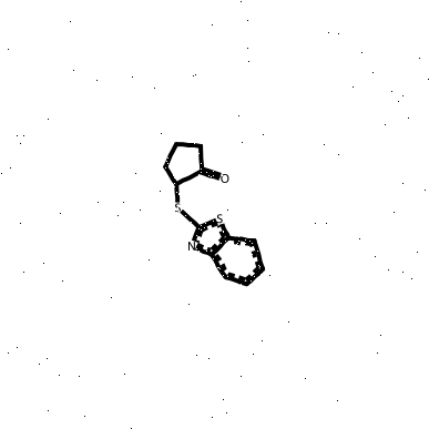 O=C1CCCC1Sc1nc2ccccc2s1